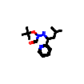 CC(C)CC(NN(C=O)OC(C)(C)C)c1ccccn1